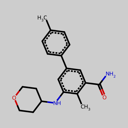 Cc1ccc(-c2cc(NC3CCOCC3)c(C)c(C(N)=O)c2)cc1